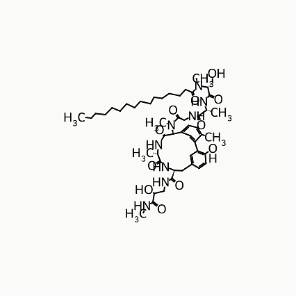 CCCCCCCCCCCCCCCC(=O)N(C)[C@H](CO)C(=O)N[C@H](C)C(=O)NCC(=O)N(C)[C@@H]1C(=O)N[C@@H](C)C(=O)N[C@H](C(=O)NCC(O)C(=O)NC)Cc2ccc(O)c(c2)-c2cc1ccc2C